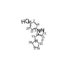 Cc1cnn(-c2ccc(O)cc2)c1C[C]1CCCC1